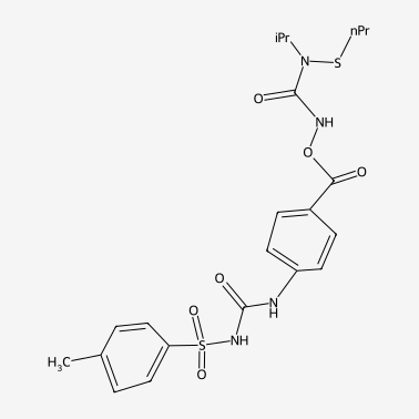 CCCSN(C(=O)NOC(=O)c1ccc(NC(=O)NS(=O)(=O)c2ccc(C)cc2)cc1)C(C)C